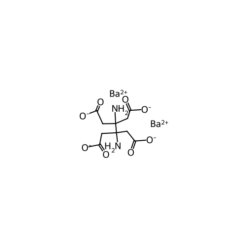 NC(CC(=O)[O-])(CC(=O)[O-])C(N)(CC(=O)[O-])CC(=O)[O-].[Ba+2].[Ba+2]